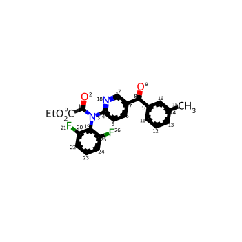 CCOC(=O)C(=O)N(c1ccc(C(=O)c2cccc(C)c2)cn1)c1c(F)cccc1F